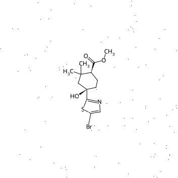 COC(=O)[C@H]1CC[C@](O)(c2ncc(Br)s2)CC1(C)C